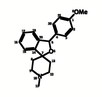 COc1ccc(C2OC3(CCN(C)CC3)c3ccccc32)cc1